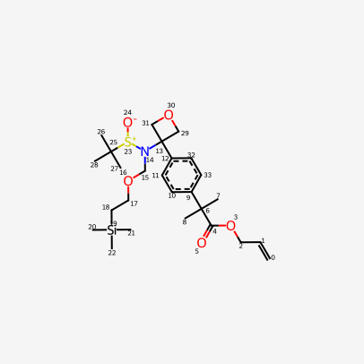 C=CCOC(=O)C(C)(C)c1ccc(C2(N(COCC[Si](C)(C)C)[S+]([O-])C(C)(C)C)COC2)cc1